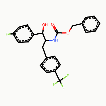 O=C(NC(Cc1ccc(C(F)(F)F)cc1)C(O)c1ccc(F)cc1)OCc1ccccc1